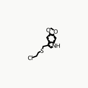 ClCCSCc1c[nH]c2cc3c(cc12)OCO3